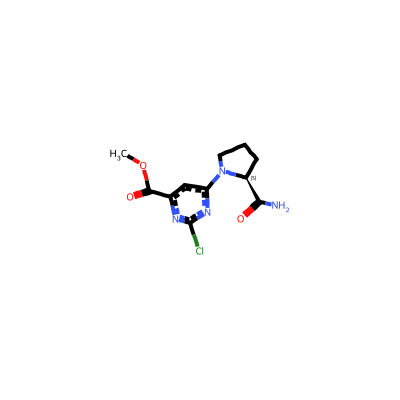 COC(=O)c1cc(N2CCC[C@H]2C(N)=O)nc(Cl)n1